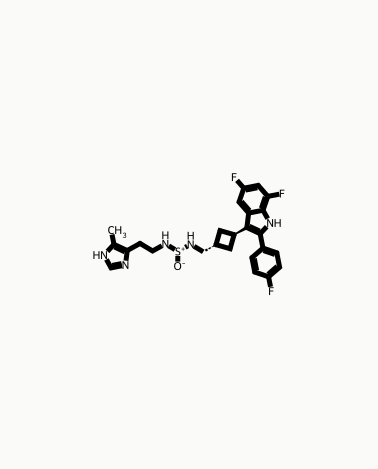 Cc1[nH]cnc1CCN[S+]([O-])NC[C@H]1C[C@H](c2c(-c3ccc(F)cc3)[nH]c3c(F)cc(F)cc32)C1